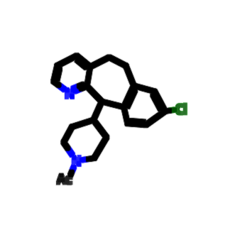 CC(=O)N1CCC(C2c3ccc(Cl)cc3CCc3cccnc32)CC1